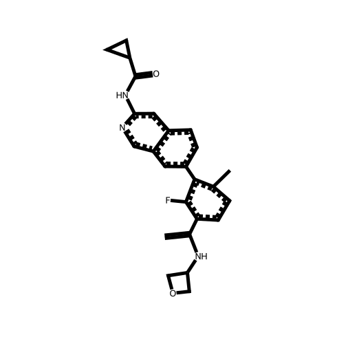 C=C(NC1COC1)c1ccc(C)c(-c2ccc3cc(NC(=O)C4CC4)ncc3c2)c1F